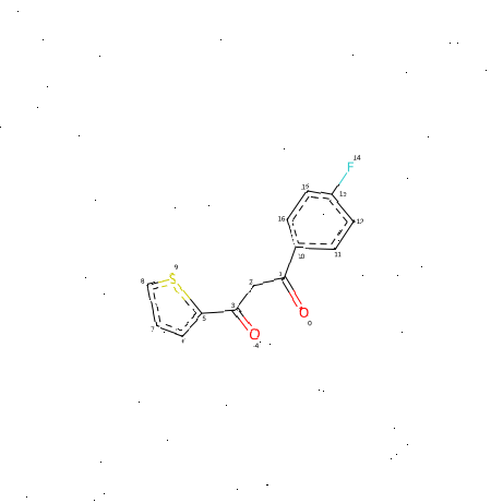 O=C(CC(=O)c1cccs1)c1ccc(F)cc1